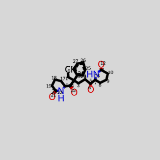 CCC(CCC(=O)C1CCCC(=O)N1)(C(=O)C1CCCC(=O)N1)c1ccccc1